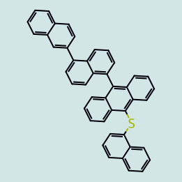 c1ccc2cc(-c3cccc4c(-c5c6ccccc6c(Sc6cccc7ccccc67)c6ccccc56)cccc34)ccc2c1